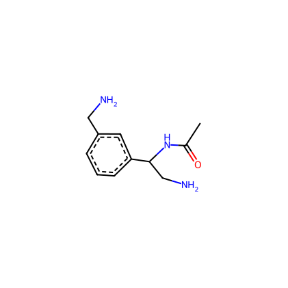 CC(=O)NC(CN)c1cccc(CN)c1